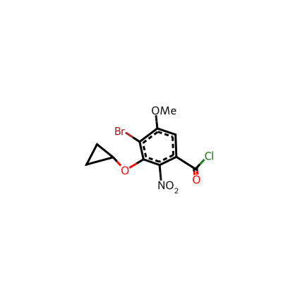 COc1cc(C(=O)Cl)c([N+](=O)[O-])c(OC2CC2)c1Br